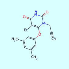 C#CCn1c(Oc2cc(C)cc(C)c2)c(CC)c(=O)[nH]c1=O